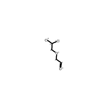 O=CCOCC(Cl)Cl